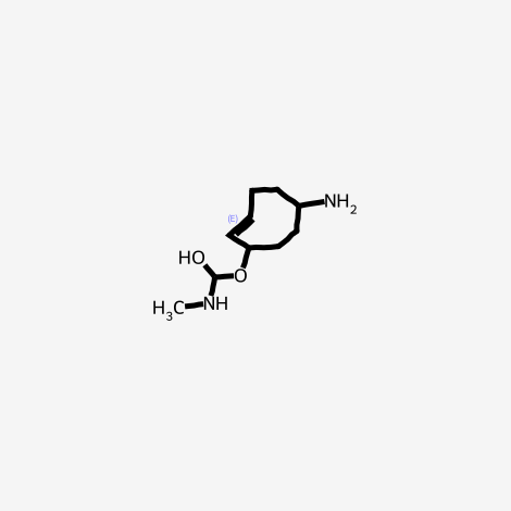 CNC(O)OC1/C=C/CCC(N)CC1